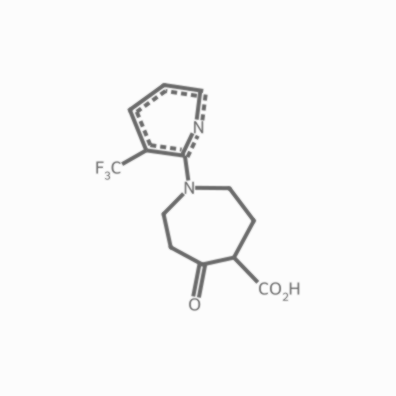 O=C(O)C1CCN(c2ncccc2C(F)(F)F)CCC1=O